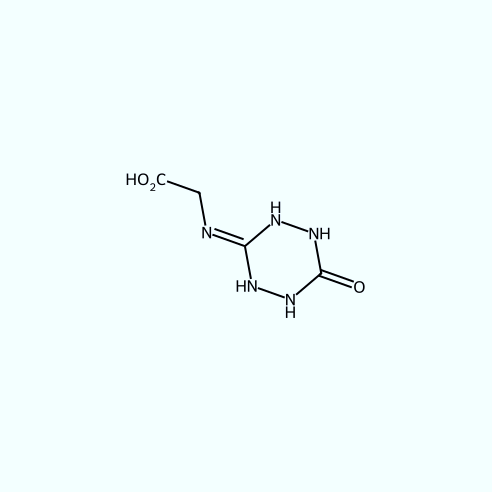 O=C(O)CN=C1NNC(=O)NN1